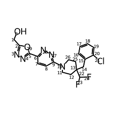 OCc1nnc(-c2ccc(N3CCC(Cc4ccccc4Cl)(C(F)F)CC3)nn2)o1